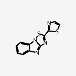 c1ccc2c(c1)nc1nc(-c3nccs3)sn12